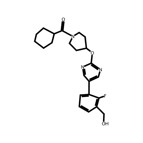 O=C(C1CCCCC1)N1CCC(Oc2ncc(-c3cccc(CO)c3F)cn2)CC1